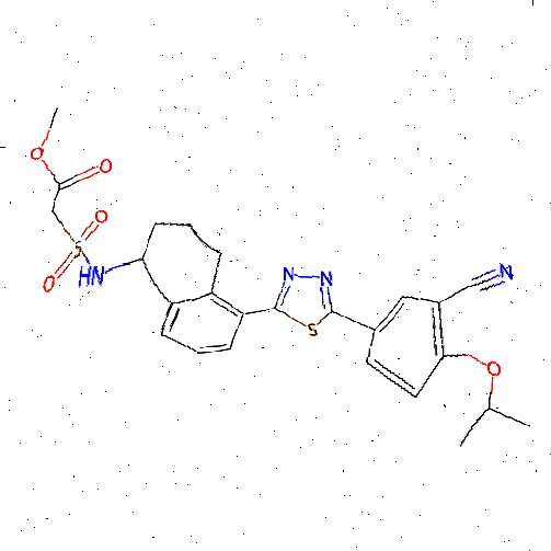 COC(=O)CS(=O)(=O)NC1CCCc2c(-c3nnc(-c4ccc(OC(C)C)c(C#N)c4)s3)cccc21